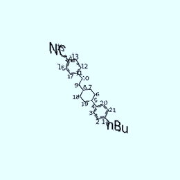 CCCCc1ccc(C2CCC(CCc3ccc(C#N)cc3)CC2)cc1